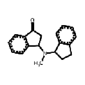 CN(C1CCc2ccccc21)C1CC(=O)c2ccccc21